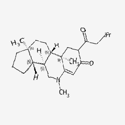 CC(C)CC(=O)C1C[C@@]2(C)C(=CC1=O)N(C)C[C@H]1[C@@H]3CCC[C@@]3(C)CC[C@@H]12